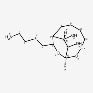 NCCSCC1O[C@@H]2OCCCCCC1[C@H](O)C2O